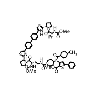 COC(=O)N[C@@H](CCNC(=O)N1CCC(N(C(=O)C2CCC(C)CC2)c2cc(-c3ccccc3)sc2C(=O)OC)CC1)C(=O)N1CCC[C@H]1c1ncc(-c2ccc(-c3ccc(-c4cnc([C@@H]5CCCN5C(=O)[C@@H](NC(=O)OC)C(C)C)[nH]4)cc3)cc2)[nH]1